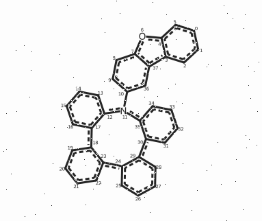 c1ccc2c(c1)oc1ccc(-n3c4ccccc4c4ccccc4c4ccccc4c4ccccc43)cc12